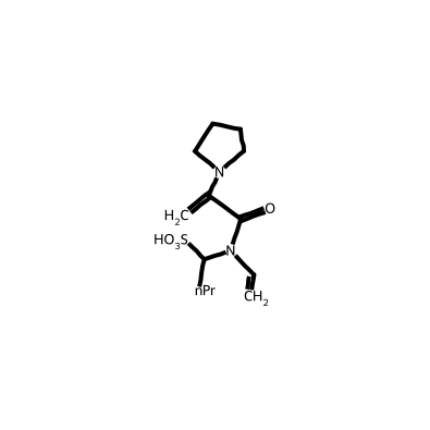 C=CN(C(=O)C(=C)N1CCCC1)C(CCC)S(=O)(=O)O